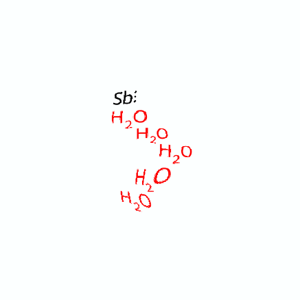 O.O.O.O.O.[Sb]